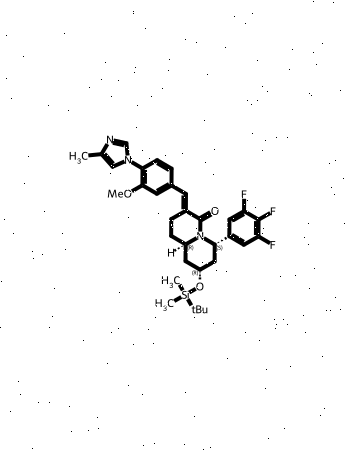 COc1cc(C=C2CC[C@@H]3C[C@@H](O[Si](C)(C)C(C)(C)C)C[C@@H](c4cc(F)c(F)c(F)c4)N3C2=O)ccc1-n1cnc(C)c1